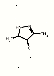 CC1=NNC(C)C1C